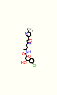 C=C(CCc1cc(-c2ccc(C(F)(F)F)nc2)on1)NC(=O)[C@@H]1C[C@@H](O)c2cc(Cl)ccc2O1